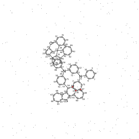 c1ccc(N(c2ccccc2)c2cccc(N(c3ccc(-c4cccc5c4C4(c6ccccc6O5)c5ccccc5-c5ccccc54)cc3)c3cccc(-c4cc5ccccc5c5sc6ccccc6c45)c3)c2)cc1